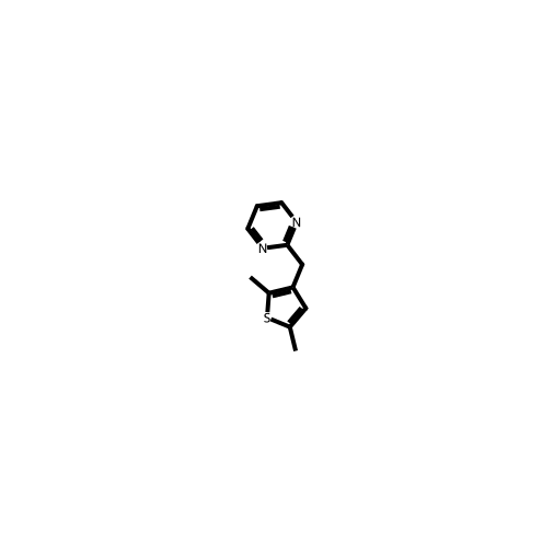 Cc1cc(Cc2ncccn2)c(C)s1